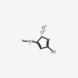 CCC1=CC[C]([Ti+2][CH3])=C1.[Cl-].[Cl-]